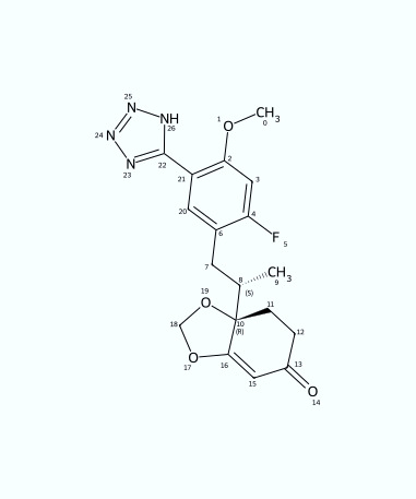 COc1cc(F)c(C[C@H](C)[C@]23CCC(=O)C=C2OCO3)cc1-c1nnn[nH]1